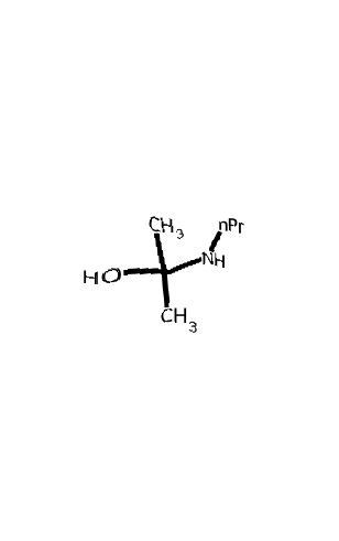 CCCNC(C)(C)O